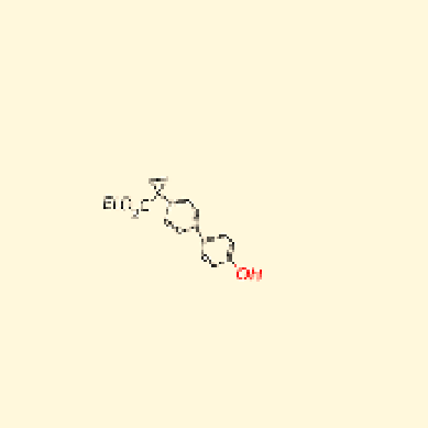 CCOC(=O)C1(c2ccc(-c3ccc(O)cc3)cc2)CC1